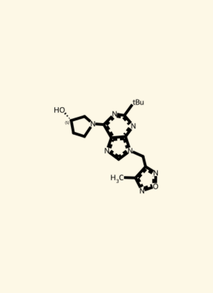 Cc1nonc1Cn1cnc2c(N3CC[C@H](O)C3)nc(C(C)(C)C)nc21